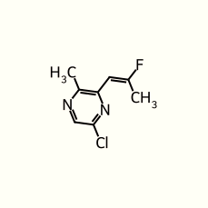 C/C(F)=C\c1nc(Cl)cnc1C